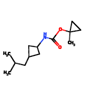 CC(C)CC1CC(NC(=O)OC2(C)CC2)C1